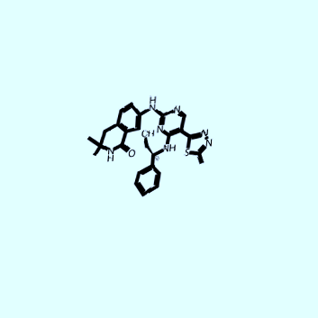 Cc1nnc(-c2cnc(Nc3ccc4c(c3)C(=O)NC(C)(C)C4)nc2N[C@H](CO)c2ccccc2)s1